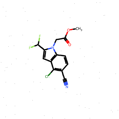 COC(=O)Cn1c(C(F)F)cc2c(Cl)c(C#N)ccc21